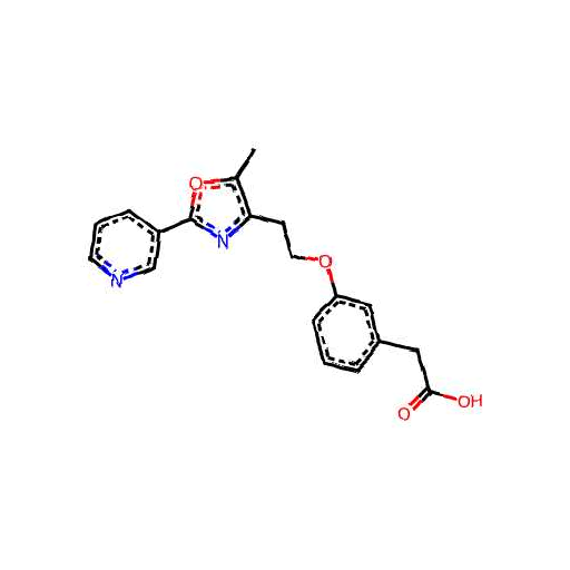 Cc1oc(-c2cccnc2)nc1CCOc1cccc(CC(=O)O)c1